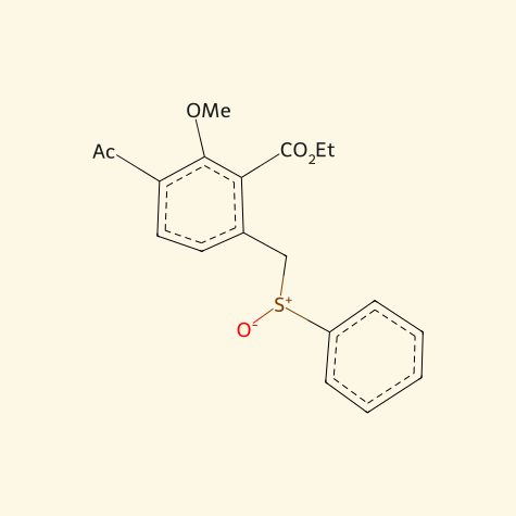 CCOC(=O)c1c(C[S+]([O-])c2ccccc2)ccc(C(C)=O)c1OC